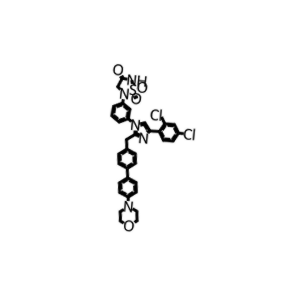 O=C1CN(c2cccc(-n3cc(-c4ccc(Cl)cc4Cl)nc3Cc3ccc(-c4ccc(N5CCOCC5)cc4)cc3)c2)S(=O)(=O)N1